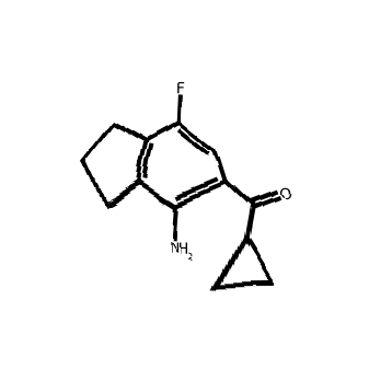 Nc1c(C(=O)C2CC2)cc(F)c2c1CCC2